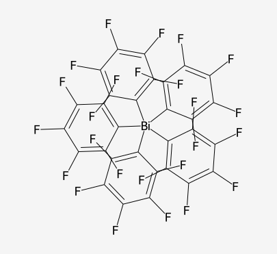 Fc1c(F)c(F)[c]([Bi]([c]2c(F)c(F)c(F)c(F)c2F)([c]2c(F)c(F)c(F)c(F)c2F)([c]2c(F)c(F)c(F)c(F)c2F)[c]2c(F)c(F)c(F)c(F)c2F)c(F)c1F